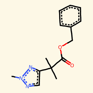 Cn1ncc(C(C)(C)C(=O)OCc2ccccc2)n1